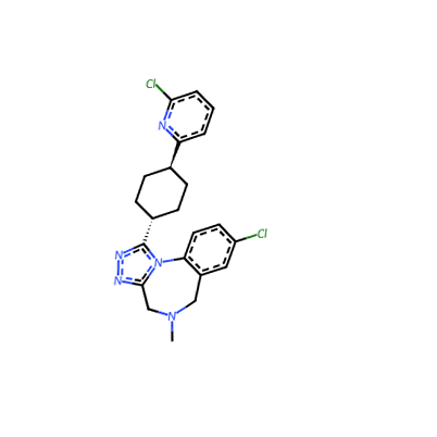 CN1Cc2cc(Cl)ccc2-n2c(nnc2[C@H]2CC[C@H](c3cccc(Cl)n3)CC2)C1